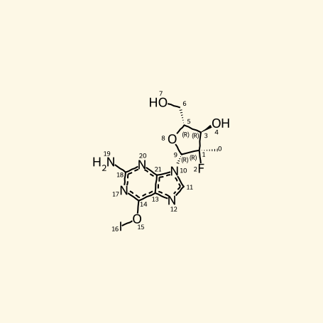 C[C@@]1(F)[C@H](O)[C@@H](CO)O[C@H]1n1cnc2c(OI)nc(N)nc21